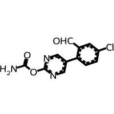 NC(=O)Oc1ncc(-c2ccc(Cl)cc2C=O)cn1